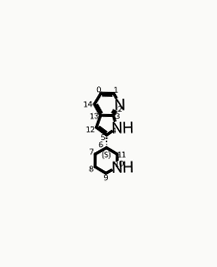 c1cnc2[nH]c([C@H]3CCCNC3)cc2c1